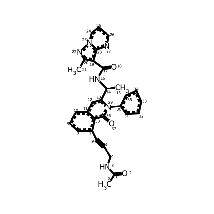 CC(=O)NCC#Cc1cccc2cc([C@H](C)NC(=O)c3c(C)nn4cccnc34)n(-c3ccccc3)c(=O)c12